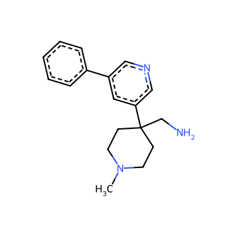 CN1CCC(CN)(c2cncc(-c3ccccc3)c2)CC1